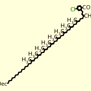 CCCCCCCCCCCCCCCCCCCCCCCCC/C(C)=C/CC/C(C)=C/CC/C(C)=C/CC/C(C)=C/CC/C(C)=C/CC/C(C)=C/CC/C(C)=C/CC/C(C)=C/CC/C(C)=C/Cc1cc(Cl)ccc1C(=O)O